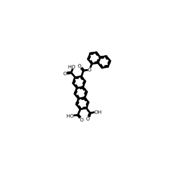 O=C(O)c1cc2cc3cc(C(=O)O)c(C(=O)Oc4cccc5ccccc45)cc3cc2cc1C(=O)O